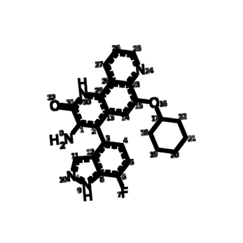 Nc1c(-c2ccc(F)c3[nH]ncc23)c2cc(OC3CCCCC3)c3ncccc3c2[nH]c1=O